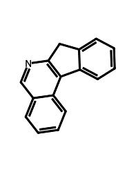 c1ccc2c(c1)Cc1ncc3ccccc3c1-2